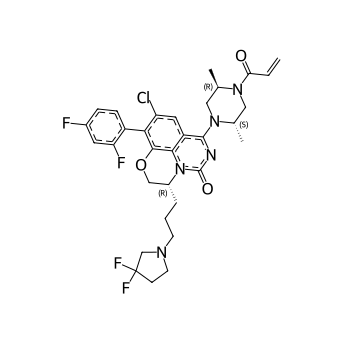 C=CC(=O)N1C[C@H](C)N(c2nc(=O)n3c4c(c(-c5ccc(F)cc5F)c(Cl)cc24)OC[C@H]3CCCN2CCC(F)(F)C2)C[C@H]1C